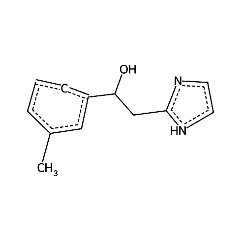 Cc1cccc(C(O)Cc2ncc[nH]2)c1